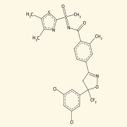 Cc1cc(C2=NOC(c3cc(Cl)cc(Cl)c3)(C(F)(F)F)C2)ccc1C(=O)N=S(C)(=O)c1nc(C)c(C)s1